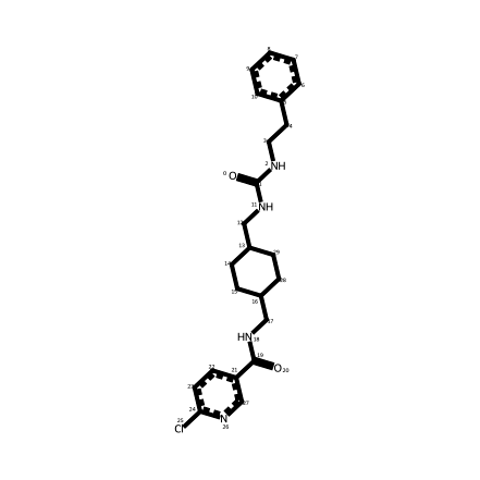 O=C(NCCc1ccccc1)NCC1CCC(CNC(=O)c2ccc(Cl)nc2)CC1